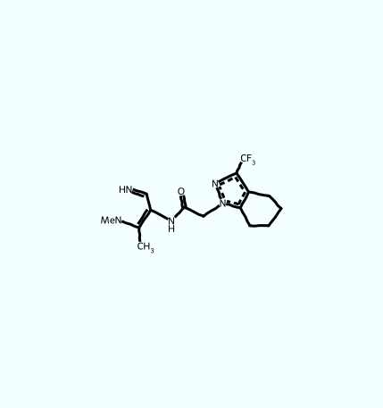 CN/C(C)=C(\C=N)NC(=O)Cn1nc(C(F)(F)F)c2c1CCCC2